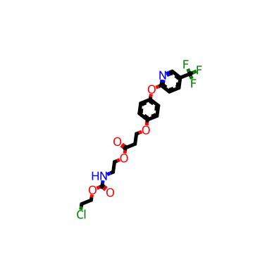 O=C(CCOc1ccc(Oc2ccc(C(F)(F)F)cn2)cc1)OCCNC(=O)OCCCl